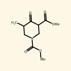 COC(=O)C1CN(C(=O)OC(C)(C)C)CC(C)C1=O